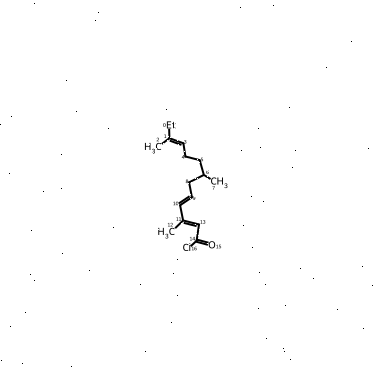 CCC(C)=CCCC(C)CC=CC(C)=CC(=O)Cl